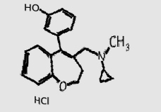 CN(CC1=C(c2cccc(O)c2)c2ccccc2OCC1)C1CC1.Cl